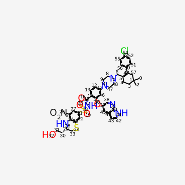 CC1(C)CCC(CN2CCN(c3ccc(C(=O)NS(=O)(=O)c4cc5c(c([N+](=O)[O-])c4)N[C@@H](CCO)CS5)c(Oc4cnc5[nH]ccc5c4)c3)CC2)=C(c2ccc(Cl)cc2)C1